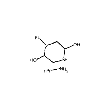 CCCN.CCN1CC(O)NCC1O